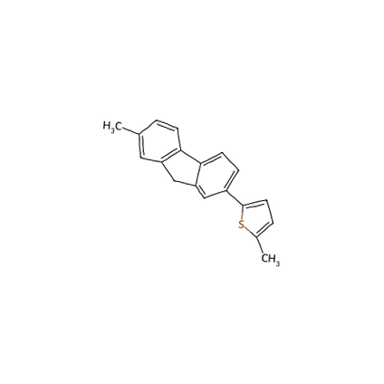 Cc1ccc2c(c1)Cc1cc(-c3ccc(C)s3)ccc1-2